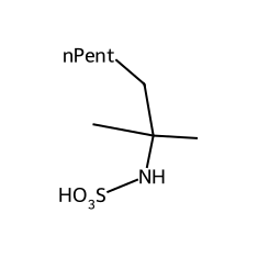 CCCCCCC(C)(C)NS(=O)(=O)O